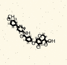 COc1ccc(-c2ccc(NC(=O)c3ccc(Oc4cc5c(cc4Cl)C(C(=O)O)CCO5)cc3)nn2)cc1